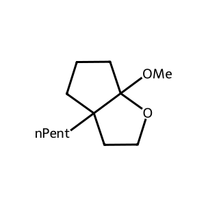 CCCCCC12CCCC1(OC)OCC2